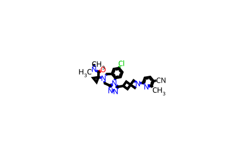 Cc1nc(N2CC3(CC(c4nnc5n4-c4ccc(Cl)cc4CN(C4(C(=O)N(C)C)CC4)C5)C3)C2)ccc1C#N